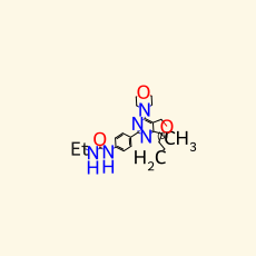 C=CC[C@]1(C)OCc2c(N3CCOCC3)nc(-c3ccc(NC(=O)NCC)cc3)nc21